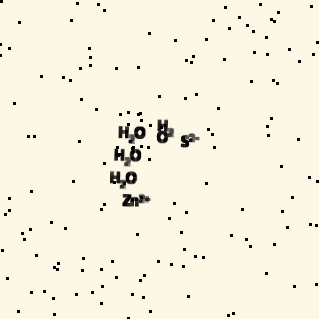 O.O.O.O.[S-2].[Zn+2]